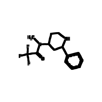 CN(C(=O)C(F)(F)F)C1CCNC(c2ccccc2)C1